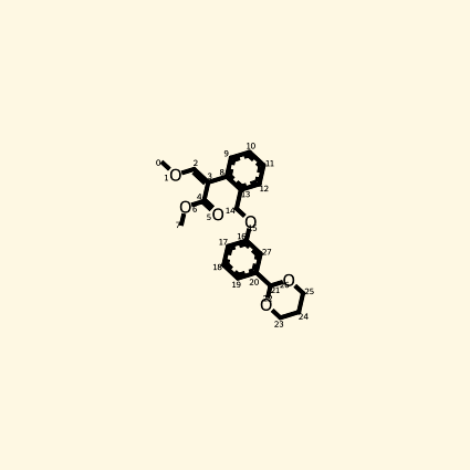 CO/C=C(\C(=O)OC)c1ccccc1COc1cccc(C2OCCCO2)c1